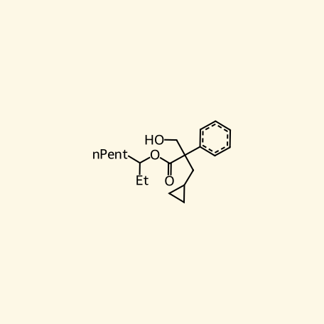 CCCCCC(CC)OC(=O)C(CO)(CC1CC1)c1ccccc1